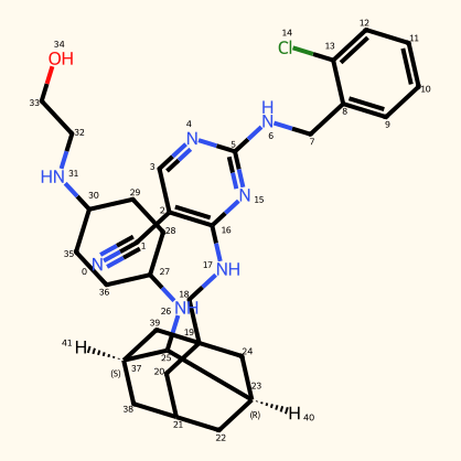 N#Cc1cnc(NCc2ccccc2Cl)nc1NCC12CC3C[C@H](C1)C(NC1CCC(NCCO)CC1)[C@@H](C3)C2